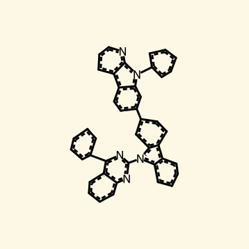 c1ccc(-c2nc(-n3c4ccccc4c4ccc(-c5ccc6c7cccnc7n(-c7ccccc7)c6c5)cc43)nc3ccccc23)cc1